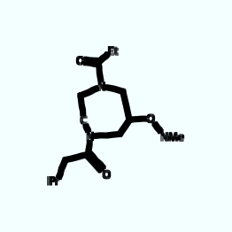 CCC(=O)N1CCN(C(=O)CC(C)C)CC(ONC)C1